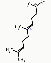 CC(=O)[C@H](C)CC/C=C(\C)CCC=C(C)C